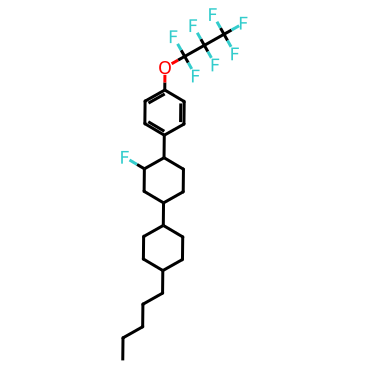 CCCCCC1CCC(C2CCC(c3ccc(OC(F)(F)C(F)(F)C(F)(F)F)cc3)C(F)C2)CC1